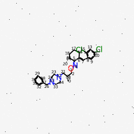 C[C@H](CON=C1C(=Cc2ccc(Cl)cc2Cl)CCC[C@H]1C)CN1CCN(Cc2ccccc2)CC1